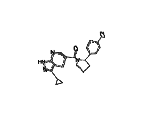 O=C(c1cnc2[nH]nc(C3CC3)c2c1)N1CCCC1c1ccc(Cl)cc1